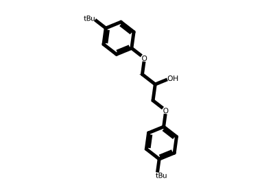 CC(C)(C)c1ccc(O[CH]C(O)COc2ccc(C(C)(C)C)cc2)cc1